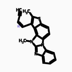 C#C/C=C\c1c(C)sc2ccc3c(c12)n(C)c1nc2ccccc2n31